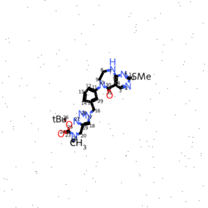 CSc1ncc2c(n1)NCCN(c1cccc(Cn3cc(CN(C)C(=O)OC(C)(C)C)nn3)c1)C2=O